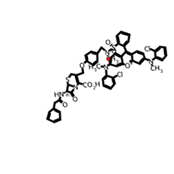 CN(c1ccc2c(-c3ccccc3S(=O)(=O)N(C)Cc3ccc(OCC4=C(C(=O)O)N5C(=O)[C@@H](NC(=O)Cc6ccccc6)C5SC4)cc3)c3ccc(N(C)c4ccccc4Cl)cc3[o+]c2c1)c1ccccc1Cl